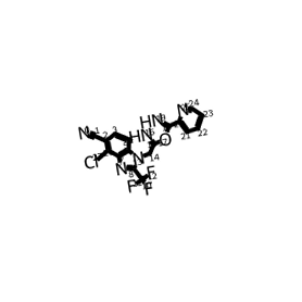 N#Cc1ccc2c(nc(C(F)(F)F)n2CC(=N)OC(=N)c2ccccn2)c1Cl